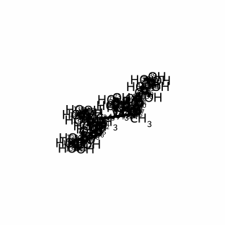 CC(CCCCCCCCCCCC(C)C1CCC2C3CCC4CC(O[C@@H]5CC(CO)[C@@H](C[C@H]6CC(CO)[C@@H](O)[C@H](O)C6O)[C@H](O)C5O)CCC4(C)C3CC(O[C@@H]3CC(CO)[C@@H](C[C@H]4CC(CO)[C@@H](O)[C@H](O)C4O)[C@H](O)C3O)C12C)C1CCC2C3CCC4CC(O[C@H]5OC(CO)[C@H](C[C@@H]6OC(CO)[C@H](O)C(O)[C@H]6O)C(O)[C@H]5O)CCC4(C)C3CC(O[C@H]3OC(CO)[C@H](C[C@@H]4OC(CO)[C@H](O)C(O)[C@H]4O)C(O)[C@H]3O)C12C